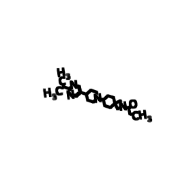 CCC(=O)N1CC2(CCC(N3CCC(c4cnc(C(C)C)nc4)CC3)CC2)C1